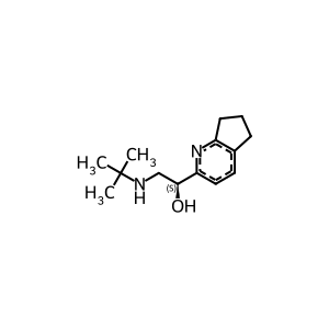 CC(C)(C)NC[C@H](O)c1ccc2c(n1)CCC2